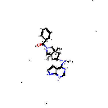 CN(c1ncnc2[nH]ccc12)[C@H]1C[C@@H]2CN(C(=O)c3ccccc3)C[C@@H]2C1